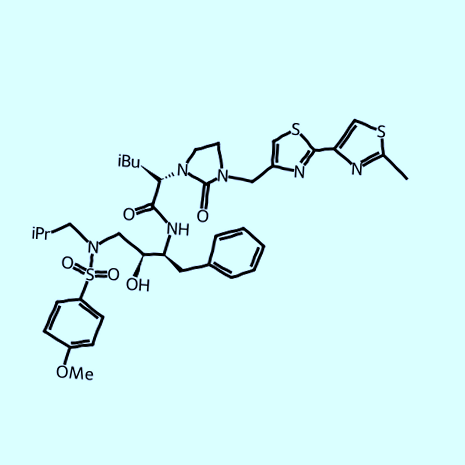 CC[C@H](C)[C@@H](C(=O)N[C@@H](Cc1ccccc1)[C@@H](O)CN(CC(C)C)S(=O)(=O)c1ccc(OC)cc1)N1CCN(Cc2csc(-c3csc(C)n3)n2)C1=O